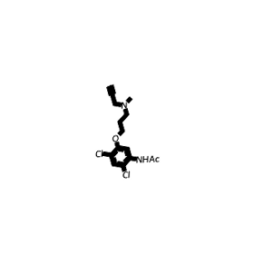 C#CCN(C)CCCOc1cc(NC(C)=O)c(Cl)cc1Cl